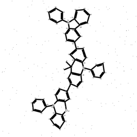 CC1(C)c2cc(-c3ccc4c(c3)Oc3ccccc3N4c3ccccc3)ccc2N(c2ccccc2)c2ccc(-c3ccc4c(c3)c3ccccc3n4-c3ccccc3)cc21